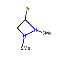 CSN1CC(Br)N1SC